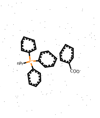 CCC[P+](c1ccccc1)(c1ccccc1)c1ccccc1.O=C([O-])c1ccccc1